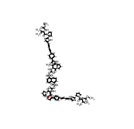 COC(=O)N[C@H](C(=O)N1CCC[C@H]1c1ncc(C#CC#Cc2ccc(-c3cnc([C@@H]4CCCN4C(=O)[C@@H](NC(=O)OS(=O)(=O)c4cccc5c(S(=O)(=O)OC(=O)N[C@H](C(=O)N6CCC[C@H]6c6ncc(-c7ccc(C#CC#Cc8cnc([C@@H]9CCCN9C(=O)[C@@H](NC(=O)OC)C(C)C)[nH]8)cc7)[nH]6)C(C)C)cccc45)C(C)C)[nH]3)cc2)[nH]1)C(C)C